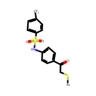 CC(=O)SCC(=O)c1ccc(NS(=O)(=O)c2ccc(C(F)(F)F)cc2)cc1